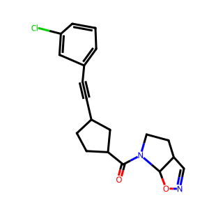 O=C(C1CCC(C#Cc2cccc(Cl)c2)C1)N1CCC2C=NOC21